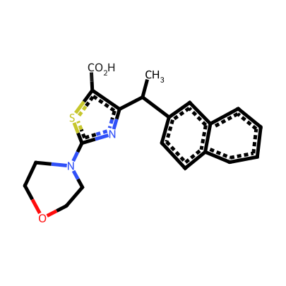 CC(c1ccc2ccccc2c1)c1nc(N2CCOCC2)sc1C(=O)O